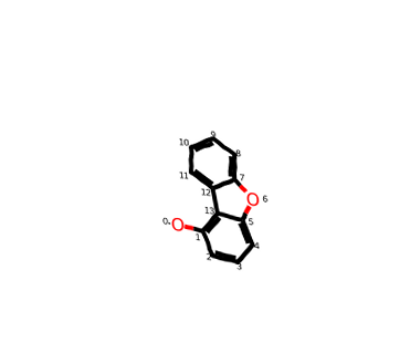 [O]c1cccc2oc3ccccc3c12